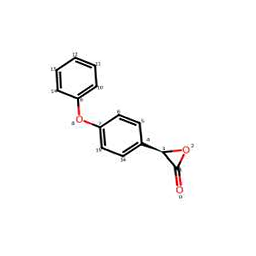 O=C1O[C@@H]1c1ccc(Oc2ccccc2)cc1